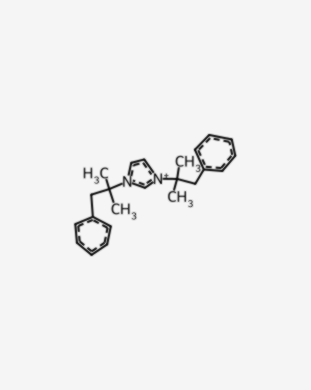 CC(C)(Cc1ccccc1)n1cc[n+](C(C)(C)Cc2ccccc2)c1